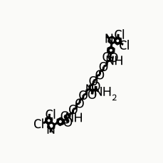 CN1Cc2c(Cl)cc(Cl)cc2C(c2ccc(S(=O)(=O)NCCOCCOCCOCCN(CCOCCOCCOCCNS(=O)(=O)c3ccc(C4CN(C)Cc5c(Cl)cc(Cl)cc54)cc3)C(=O)C(N)=O)cc2)C1